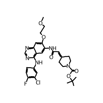 COCCOc1cc2ncnc(Nc3ccc(F)c(Cl)c3)c2cc1NC(=O)C=C1CCN(C(=O)OC(C)(C)C)CC1